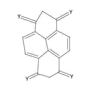 [Y]=[C]1C[C](=[Y])c2ccc3c4c(ccc1c24)[C](=[Y])C[C]3=[Y]